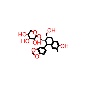 Cc1cc2c(cc1O)C[C@H](CO)[C@@H](CO[C@@H]1OC[C@@H](O)[C@H](O)[C@H]1O)C2c1ccc2c(c1)OCO2